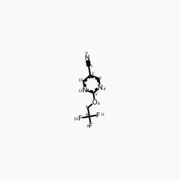 N#Cc1cnc(OCC(F)(F)F)nc1